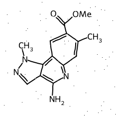 COC(=O)c1cc2c(cc1C)nc(N)c1cnn(C)c12